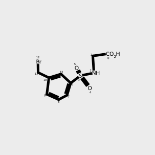 O=C(O)CNS(=O)(=O)c1cccc(CBr)c1